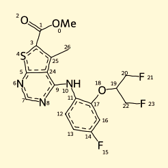 COC(=O)c1sc2ncnc(Nc3ccc(F)cc3OC(CF)CF)c2c1C